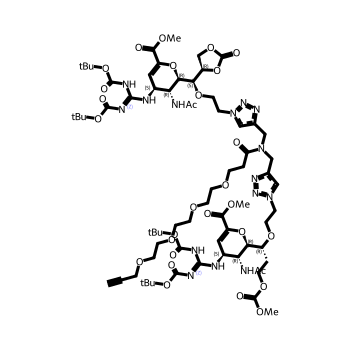 C#CCOCCOCCOCCOCCC(=O)N(Cc1cn(CCO[C@@H]([C@@H]2OC(C(=O)OC)=C[C@H](N/C(=N/C(=O)OC(C)(C)C)NC(=O)OC(C)(C)C)[C@H]2NC(C)=O)[C@H]2COC(=O)O2)nn1)Cc1cn(CCO[C@H](CCOC(=O)OC)[C@@H]2OC(C(=O)OC)=C[C@H](N/C(=N/C(=O)OC(C)(C)C)NC(=O)OC(C)(C)C)[C@H]2NC(C)=O)nn1